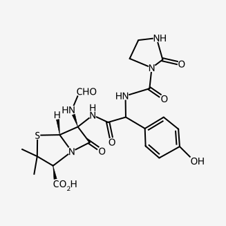 CC1(C)S[C@H]2N(C(=O)[C@@]2(NC=O)NC(=O)C(NC(=O)N2CCNC2=O)c2ccc(O)cc2)[C@H]1C(=O)O